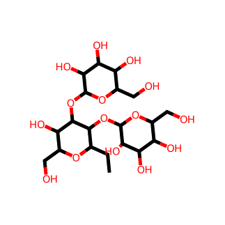 CCC1OC(CO)C(O)C(OC2OC(CO)C(O)C(O)C2O)C1OC1OC(CO)C(O)C(O)C1O